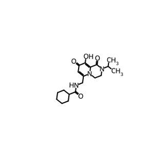 CC(C)N1CCn2c(CNC(=O)C3CCCCC3)cc(=O)c(O)c2C1=O